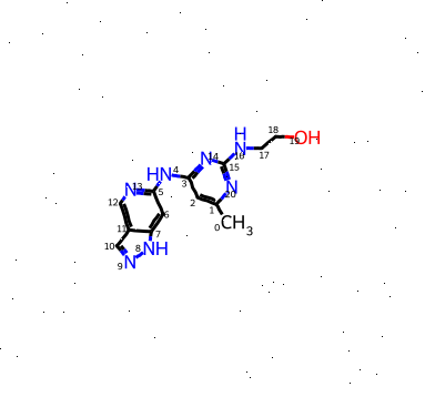 Cc1cc(Nc2cc3[nH]ncc3cn2)nc(NCCO)n1